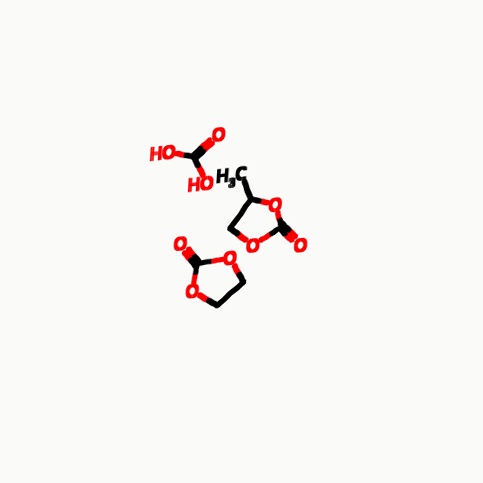 CC1COC(=O)O1.O=C(O)O.O=C1OCCO1